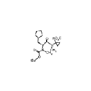 CN(C(=O)OC(C)(C)C)[C@@H](CC1CCCC1)C(=O)N(C)C1(C(=O)O)CC1